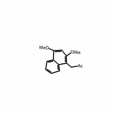 [CH2]C(=O)Cc1c(OC)cc(OC)c2ccccc12